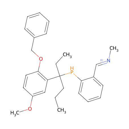 CCCC(CC)(Pc1ccccc1/C=N/C)c1cc(OC)ccc1OCc1ccccc1